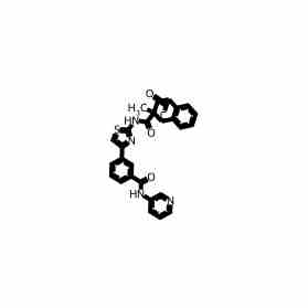 CC1(C(=O)Nc2nc(-c3cccc(C(=O)Nc4cccnc4)c3)cs2)CC2C(=O)CC1c1ccccc12